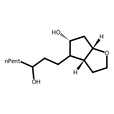 CCCCCC(O)CCC1[C@H](O)C[C@@H]2OCC[C@H]12